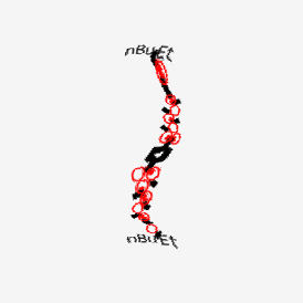 CCCCC(CC)COCCOC(C)OC(C)OC(C)OC(C)OC(=O)c1ccc(C(=O)OC(C)OC(C)OC(C)OC(C)OCCOCC(CC)CCCC)cc1